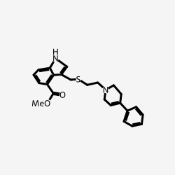 COC(=O)c1cccc2[nH]cc(CSCCN3CC=C(c4ccccc4)CC3)c12